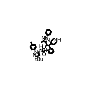 Cc1ccc(-n2nc(C(C)(C)C)cc2NC(=O)Nc2ccccc2C(C(=O)c2nn(-c3ccccc3)nc2C)C2CCNCC2)cc1